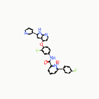 O=C(Nc1ccc(Oc2ccnc3[nH]c(-c4cccnc4)cc23)c(F)c1)c1cccc(-c2ccc(F)cc2)[n+]1[O-]